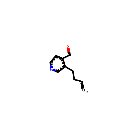 C=CCCc1cnccc1C=O